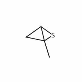 CC12C[C]1S2